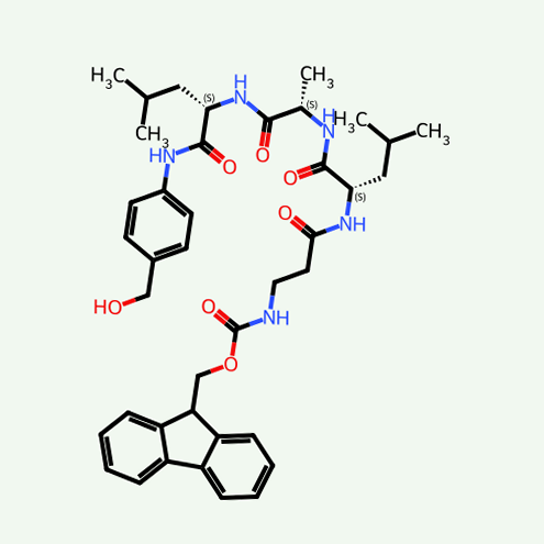 CC(C)C[C@H](NC(=O)CCNC(=O)OCC1c2ccccc2-c2ccccc21)C(=O)N[C@@H](C)C(=O)N[C@@H](CC(C)C)C(=O)Nc1ccc(CO)cc1